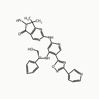 CCCN1C(=O)c2cnc(Nc3cc(N[C@H](CO)c4ccccc4)c(-c4nc(-c5cccnc5)no4)cn3)nc2C1(C)C